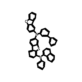 c1ccc(-c2cccc(N(c3ccc4c(c3)sc3c(N(c5ccccc5)c5cccc6ccccc56)cccc34)c3ccc4oc5ccccc5c4c3)c2)cc1